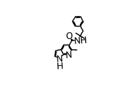 Cc1nc2[nH]ccc2cc1C(=O)NC(C)(C)Cc1ccccc1